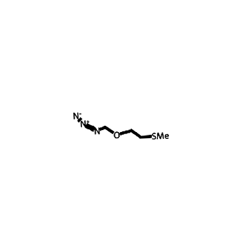 CSCCOCN=[N+]=[N-]